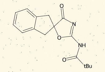 CC(C)(C)C(=O)NC1=NC(=O)C2(Cc3ccccc3C2)O1